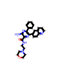 Nc1nc(-c2ccccc2)c(-c2ccc3ncccc3c2)nc1C(=O)NCCN1CCOCC1